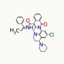 CC[C@H](NC(=O)c1c(CN2CCC(N3CCCCC3)CC2)n(-c2cccc(Cl)c2)c(=O)c2ccccc12)c1ccccc1